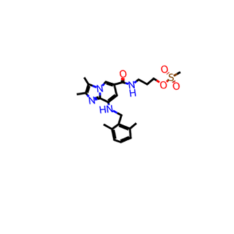 Cc1cccc(C)c1CNc1cc(C(=O)NCCCOS(C)(=O)=O)cn2c(C)c(C)nc12